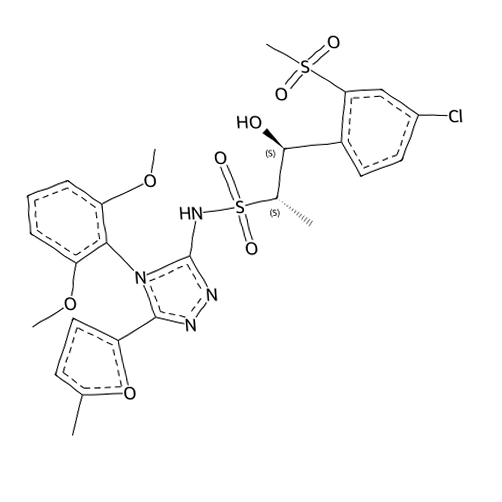 COc1cccc(OC)c1-n1c(NS(=O)(=O)[C@@H](C)[C@@H](O)c2ccc(Cl)cc2S(C)(=O)=O)nnc1-c1ccc(C)o1